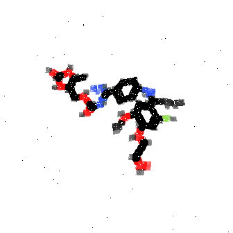 CCOC(=O)C(Nc1ccc(C(N)=NC(=O)OCc2oc(=O)oc2C)cc1)c1cc(OCC)c(OCCO)cc1F